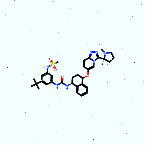 CN1CCC[C@@]1(C)c1nnc2ccc(O[C@@H]3CC[C@H](NC(=O)Nc4cc(NS(C)(=O)=O)cc(C(C)(C)C)c4)c4ccccc43)cn12